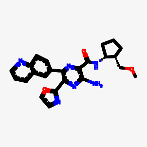 COC[C@H]1CCC[C@H]1NC(=O)c1nc(-c2ccc3ncccc3c2)c(-c2ncco2)nc1N